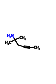 CC#CCC(C)(C)N